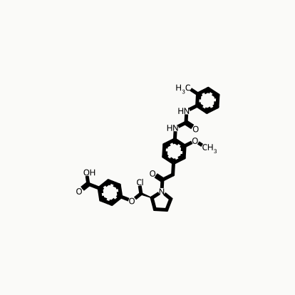 COc1cc(CC(=O)N2CCC[C@H]2C(Cl)Oc2ccc(C(=O)O)cc2)ccc1NC(=O)Nc1ccccc1C